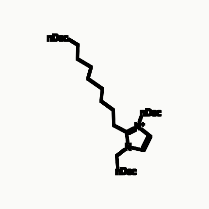 CCCCCCCCCCCCCCCCCCc1n(CCCCCCCCCCC)cc[n+]1CCCCCCCCCC